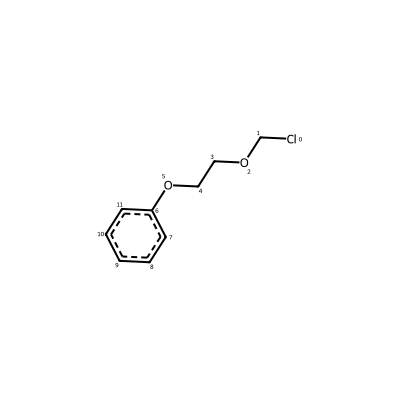 ClCOCCOc1ccccc1